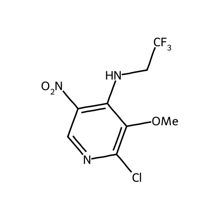 COc1c(Cl)ncc([N+](=O)[O-])c1NCC(F)(F)F